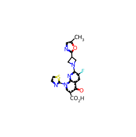 Cc1cnc(C2CN(c3nc4c(cc3F)c(=O)c(C(=O)O)cn4-c3nccs3)C2)o1